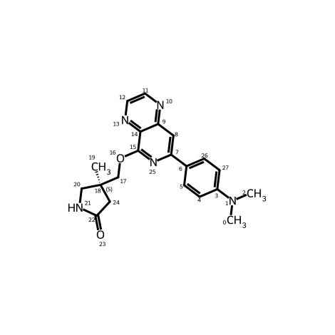 CN(C)c1ccc(-c2cc3nccnc3c(OC[C@]3(C)CNC(=O)C3)n2)cc1